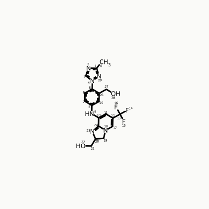 Cc1ncn(-c2ccc(NC3=CC(C(F)(F)F)=CN4CC(CO)N=C34)cc2CO)n1